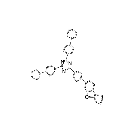 c1ccc(-c2ccc(-c3nc(-c4ccc(-c5ccccc5)cc4)nc(-c4ccc(-c5ccc6c(c5)oc5ccccc56)cc4)n3)cc2)cc1